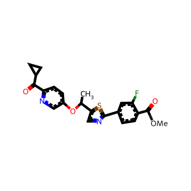 COC(=O)c1ccc(-c2ncc(C(C)Oc3ccc(C(=O)C4CC4)nc3)s2)cc1F